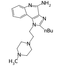 CCCCc1nc2c(N)nc3ccccc3c2n1CCN1CCN(C)CC1